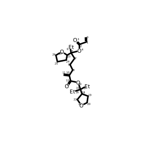 C=CC(=O)OC(CC)(CCCC(=C)C(=O)OC(CC)(CC)C1CCOC1)C1CCCO1